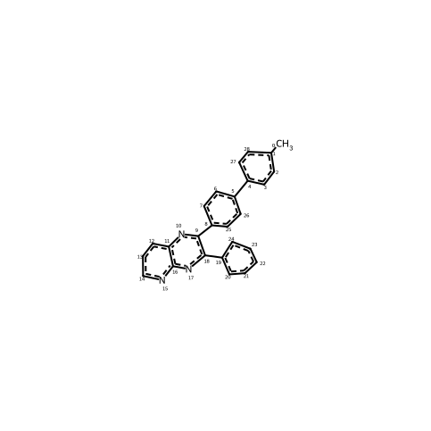 Cc1ccc(-c2ccc(-c3nc4cccnc4nc3-c3ccccc3)cc2)cc1